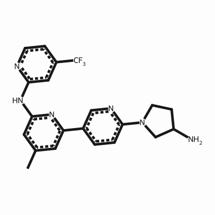 Cc1cc(Nc2cc(C(F)(F)F)ccn2)nc(-c2ccc(N3CCC(N)C3)nc2)c1